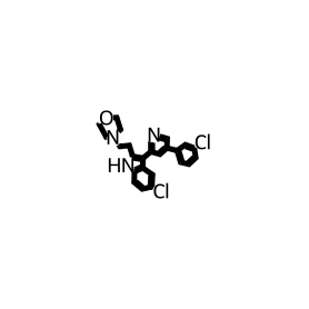 Clc1cccc(-c2cncc(-c3c(CCN4CCOCC4)[nH]c4ccc(Cl)cc34)c2)c1